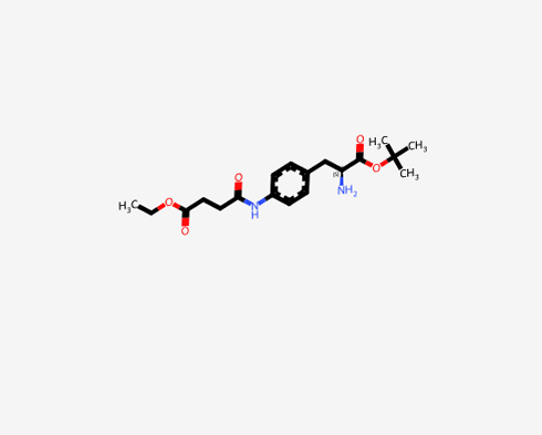 CCOC(=O)CCC(=O)Nc1ccc(C[C@H](N)C(=O)OC(C)(C)C)cc1